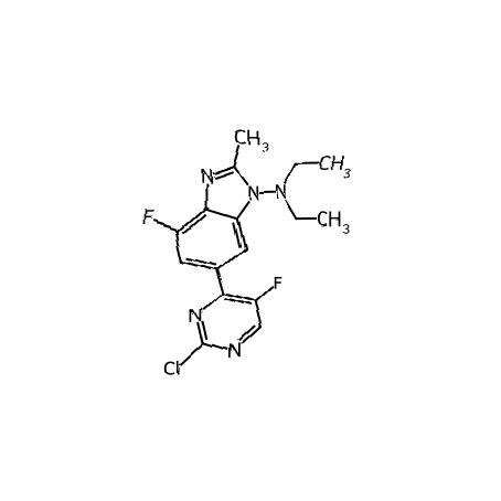 CCN(CC)n1c(C)nc2c(F)cc(-c3nc(Cl)ncc3F)cc21